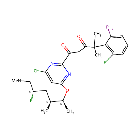 CNC[C@@H](F)C[C@H](C)[C@H](C)Oc1cc(Cl)nc(C(=O)CC(=O)C(C)(C)c2c(F)cccc2P)n1